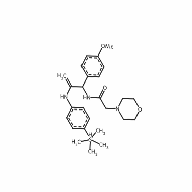 C=C(Nc1ccc([SH](C)(C)(C)C)cc1)C(NC(=O)CN1CCOCC1)c1ccc(OC)cc1